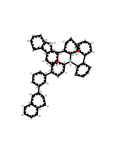 c1ccc(-c2ccccc2N(c2ccc(-c3cccc(-c4ccc5ccccc5c4)c3)cc2)c2ccccc2-c2cccc3c2oc2ccccc23)cc1